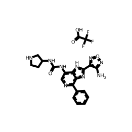 Nc1nonc1-c1nc2c(-c3ccccc3)ncc(NC(=O)NC3CCNC3)c2[nH]1.O=C(O)C(F)(F)F